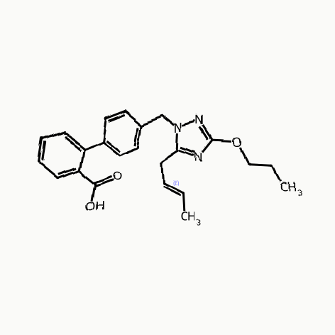 C/C=C/Cc1nc(OCCC)nn1Cc1ccc(-c2ccccc2C(=O)O)cc1